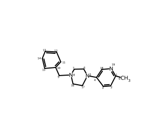 Cc1ccc(N2CCN(Cc3ccccc3)CC2)cn1